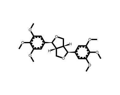 COc1cc([C@H]2OC[C@H]3[C@@H]2CO[C@@H]3c2cc(OC)c(OC)c(OC)c2)cc(OC)c1OC